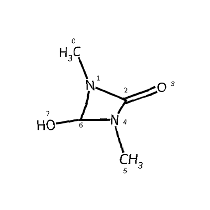 CN1C(=O)N(C)C1O